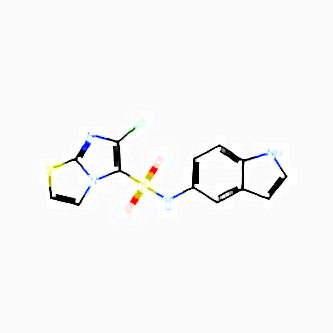 O=S(=O)(Nc1ccc2[nH]ccc2c1)c1c(Cl)nc2sccn12